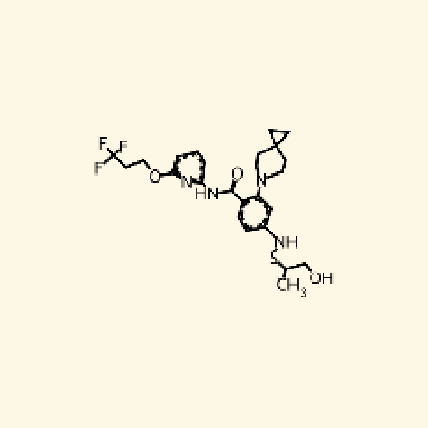 CC(CO)SNc1ccc(C(=O)Nc2cccc(OCCC(F)(F)F)n2)c(N2CCC3(CC2)CC3)c1